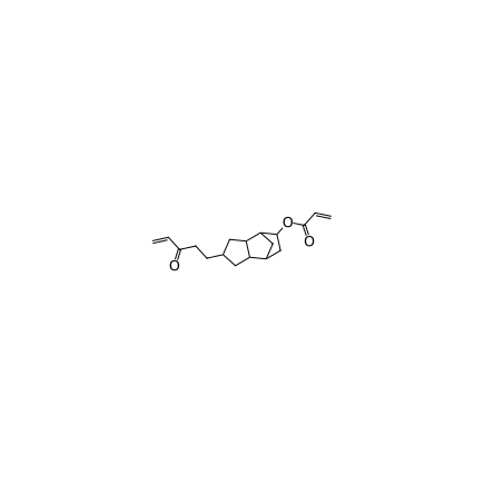 C=CC(=O)CCC1CC2C3CC(OC(=O)C=C)C(C3)C2C1